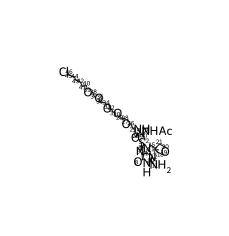 CC(=O)N[C@@H](CSc1nc2c(=O)[nH]c(N)nc2n1CC1CCOCC1)C(=O)NCCOCCOCCOCCOCCOCCCCCCCl